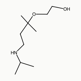 CC(C)NCCC(C)(C)OCCO